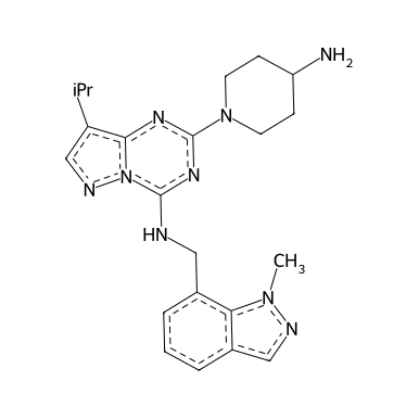 CC(C)c1cnn2c(NCc3cccc4cnn(C)c34)nc(N3CCC(N)CC3)nc12